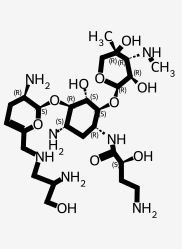 CN[C@@H]1[C@@H](O)[C@@H](O[C@@H]2[C@@H](O)[C@H](O[C@H]3OC(CNCC(N)CO)=CC[C@H]3N)[C@@H](N)C[C@H]2NC(=O)[C@@H](O)CCN)OC[C@]1(C)O